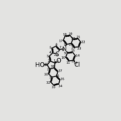 O=C1/C(=C\c2ccc(N(c3ccc(Cl)cc3)c3cccc4ccccc34)s2)C(O)c2cc3ccccc3cc21